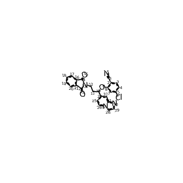 N#Cc1ccc(Cl)cc1OC(CCN1C(=O)c2ccccc2C1=O)c1ccn2ccnc2c1